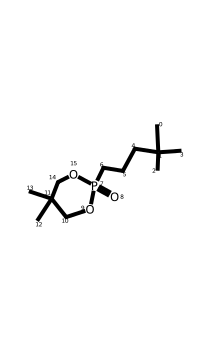 CC(C)(C)CCCP1(=O)OCC(C)(C)CO1